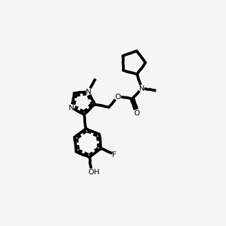 CN(C(=O)OCc1c(-c2ccc(O)c(F)c2)ncn1C)C1CCCC1